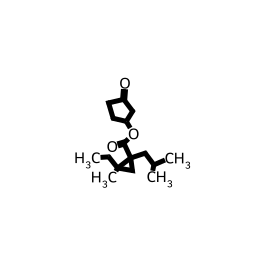 CCC1(C)CC1(CC(C)C)C(=O)OC1CCC(=O)C1